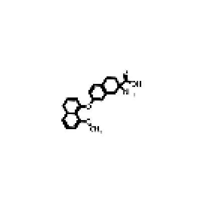 COC1=CC=CC2CC=CC(Oc3ccc4c(c3)CC(N)(C(=O)O)CC4)=C12